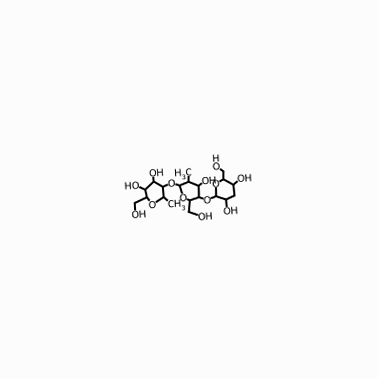 CC1OC(CO)C(O)C(O)C1OC1OC(CO)C(OC2OC(CO)C(O)CC2O)C(O)C1C